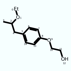 CCO[C](C)Cc1ccc(OCCO)cc1